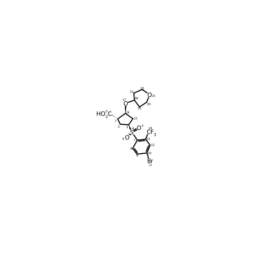 O=C(O)[C@H]1C[C@H](S(=O)(=O)c2ccc(Br)cc2C(F)(F)F)C[C@@H]1OC1CCOCC1